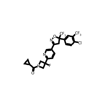 O=C(C1CC1)N1CC(F)(c2ccc(C3=NOC(c4ccc(Cl)c(C(F)(F)F)c4)(C(F)(F)F)C3)cn2)C1